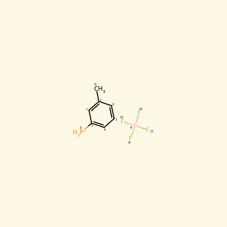 Cc1cccc([PH3+])c1.F[B-](F)(F)F